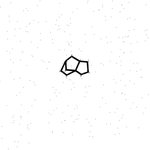 C1CC2CC3CCC2(C1)C3